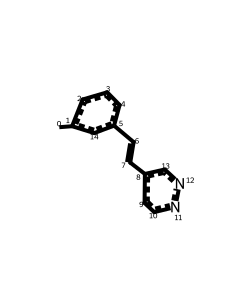 Cc1cccc(C=Cc2ccnnc2)c1